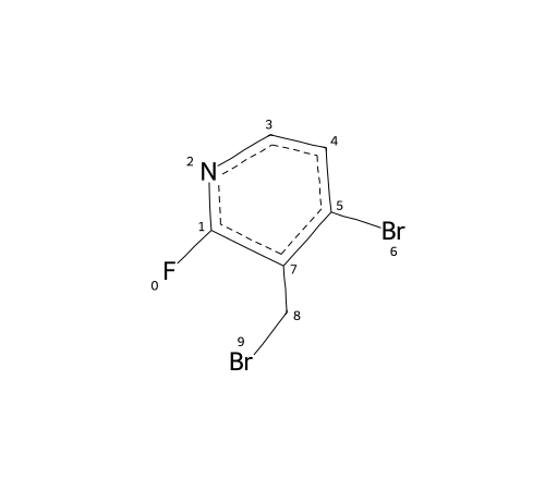 Fc1nccc(Br)c1CBr